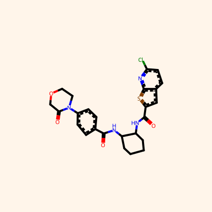 O=C(NC1CCCCC1NC(=O)c1cc2ccc(Cl)nc2s1)c1ccc(N2CCOCC2=O)cc1